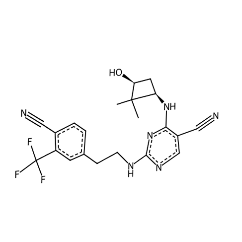 CC1(C)[C@@H](O)C[C@H]1Nc1nc(NCCc2ccc(C#N)c(C(F)(F)F)c2)ncc1C#N